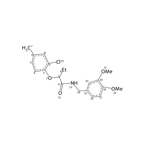 CCC(Oc1ccc(C)cc1Cl)C(=O)NCc1ccc(OC)c(OC)c1